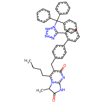 CCCCc1c(Cc2ccc(-c3ccccc3-c3nnnn3C(c3ccccc3)(c3ccccc3)c3ccccc3)cc2)c(=O)nc2n1C(C)C(=O)N2